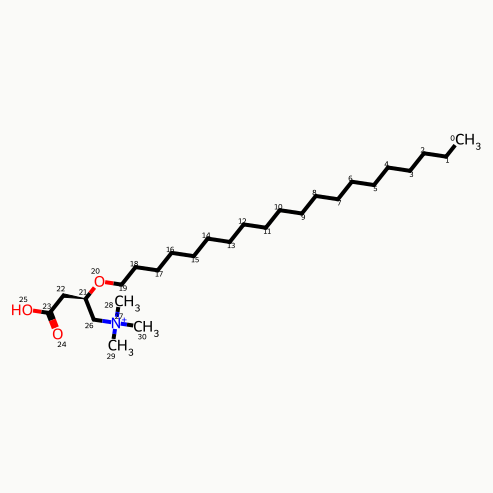 CCCCCCCCCCCCCCCCCCCCO[C@H](CC(=O)O)C[N+](C)(C)C